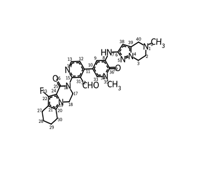 CN1CCn2nc(Nc3cc(-c4ccnc(N5CCn6c7c(c(F)c6C5=O)CCCC7)c4C=O)cn(C)c3=O)cc2C1